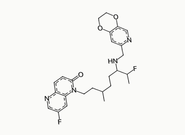 CC(CCC(NCc1cc2c(cn1)OCCO2)C(C)F)CCn1c(=O)ccc2ncc(F)cc21